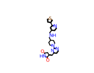 O=C1C/C(=C\c2ccnc(N3CCC(CNCc4ccnc(-c5ccsc5)c4)CC3)n2)C(=O)N1